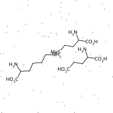 CSCCC(N)C(=O)O.NC(CCC(=O)O)C(=O)O.NCCCCC(N)C(=O)O